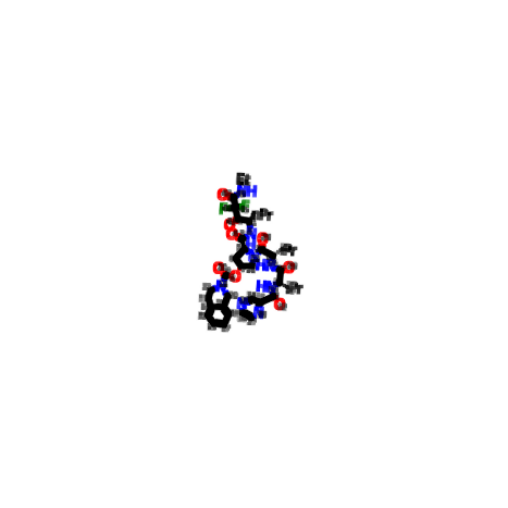 CCC[C@H](NC(=O)[C@@H]1C[C@@H](OC(=O)N2CCc3ccccc3C2)CN1C(=O)[C@@H](NC(=O)[C@@H](NC(=O)c1cnccn1)C(C)C)C(C)C)C(=O)C(F)(F)C(=O)NCC